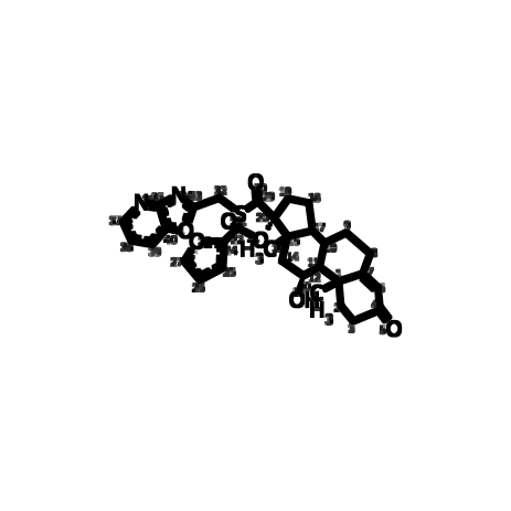 CC12CCC(=O)C=C1CCC1C2[C@@H](O)CC2(C)C1CC[C@]2(OC(=O)c1ccco1)C(=O)SCc1nc2ncccc2o1